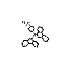 Cc1ccc(N(c2cc3ccccc3c3ccccc23)c2cc3ccccc3c3ccccc23)cc1